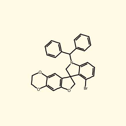 Brc1cccc2c1C1(COc3cc4c(cc31)OCCO4)CN2C(c1ccccc1)c1ccccc1